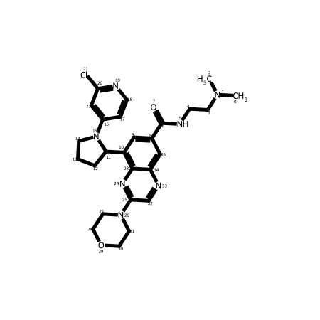 CN(C)CCNC(=O)c1cc(C2CCCN2c2ccnc(Cl)c2)c2nc(N3CCOCC3)cnc2c1